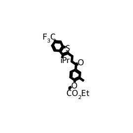 CCOC(=O)COc1ccc(C(=O)CCc2sc3cc(C(F)(F)F)ccc3c2C(C)C)cc1C